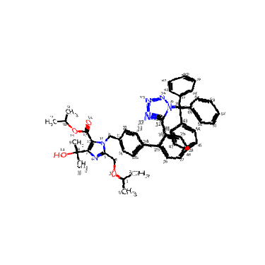 CC(C)OCc1nc(C(C)(C)O)c(C(=O)OC(C)C)n1Cc1ccc(-c2ccccc2-c2nnnn2C(c2ccccc2)(c2ccccc2)c2ccccc2)cc1